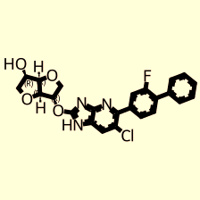 O[C@@H]1CO[C@H]2[C@@H]1OC[C@H]2Oc1nc2nc(-c3ccc(-c4ccccc4)c(F)c3)c(Cl)cc2[nH]1